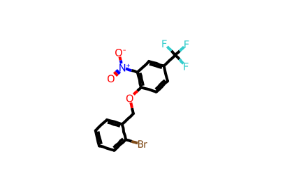 O=[N+]([O-])c1cc(C(F)(F)F)ccc1OCc1ccccc1Br